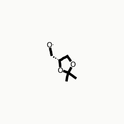 CC1(C)OC[C@@H](C[O])O1